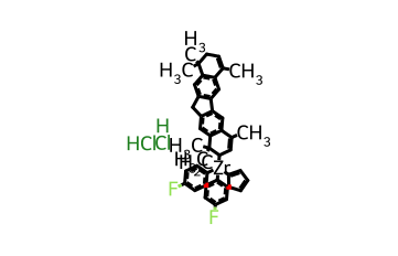 Cl.Cl.[CH2]=[Zr]([C]1=CC=CC1)([c]1ccc(F)cc1)([c]1ccc(F)cc1)[CH]1C=C(C)c2cc3c(cc2C1(C)C)Cc1cc2c(cc1-3)C(C)=CCC2(C)C